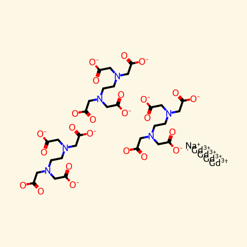 O=C([O-])CN(CCN(CC(=O)[O-])CC(=O)[O-])CC(=O)[O-].O=C([O-])CN(CCN(CC(=O)[O-])CC(=O)[O-])CC(=O)[O-].O=C([O-])CN(CCN(CC(=O)[O-])CC(=O)[O-])CC(=O)[O-].[Gd+3].[Gd+3].[Gd+3].[Gd+3].[Na+]